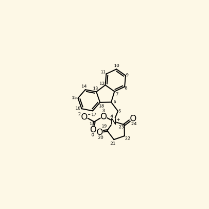 O=C([O-])O[N+]1(CC2c3ccccc3-c3ccccc32)C(=O)CCC1=O